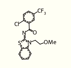 COCCn1c(=NC(=O)c2cc(C(F)(F)F)ccc2Cl)sc2ccccc21